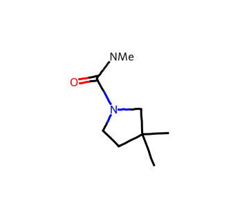 CNC(=O)N1CCC(C)(C)C1